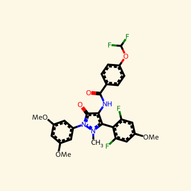 COc1cc(OC)cc(-n2c(=O)c(NC(=O)c3ccc(OC(F)F)cc3)c(-c3c(F)cc(OC)cc3F)n2C)c1